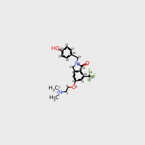 CN(C)CCOc1cc2c(c(C(F)(F)F)c1)C(=O)N(Cc1ccc(O)cc1)C2